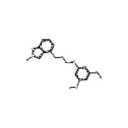 CCc1cc(OC)cc(OCCCc2cccc3nn(C)cc23)c1